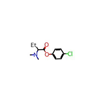 CCC(C(=O)Oc1ccc(Cl)cc1)N(C)C